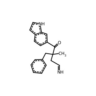 CC(CC=N)(Cc1ccccc1)C(=O)c1ccc2cc[nH]c2c1